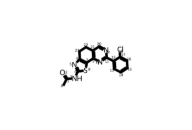 CC(=O)Nc1nc2c(s1)-c1nc(-c3ccccc3Cl)ncc1CC2